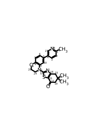 Cc1ccc(-c2ccc3c(c2)N(c2nc4c(s2)C(=O)CC(C)(C)C4)CCO3)cn1